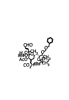 CO[C@@]1(C(C)(C)/C=C/C=O)O[C@H](C[C@@H](O[Si](C)(C)C(C)(C)C)[C@@H](C)OCOCc2ccccc2)CC(=CC(=O)O)[C@@H]1OC(C)=O